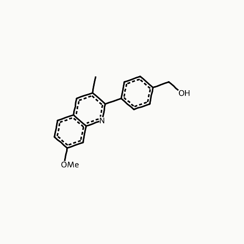 COc1ccc2cc(C)c(-c3ccc(CO)cc3)nc2c1